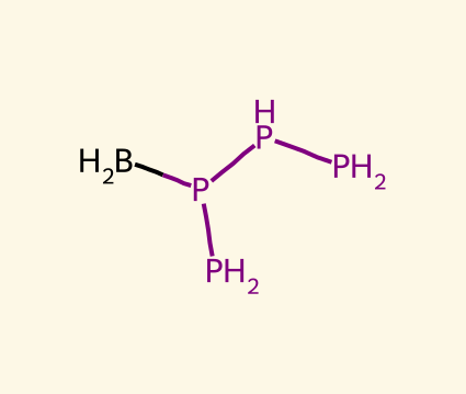 BP(P)PP